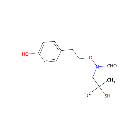 CC(C)(S)CN(C=O)OCCc1ccc(O)cc1